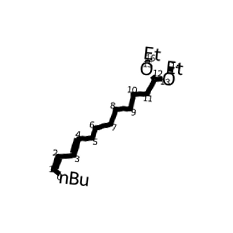 CCCC/C=C\C=C\CCCCCCCC(OCC)OCC